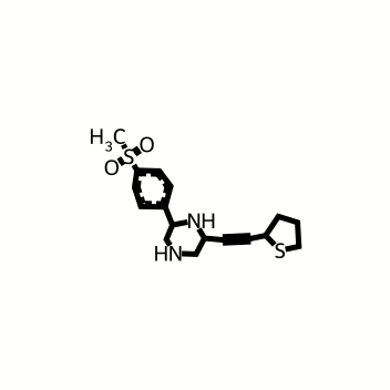 CS(=O)(=O)c1ccc(C2CNCC(C#CC3CCCS3)N2)cc1